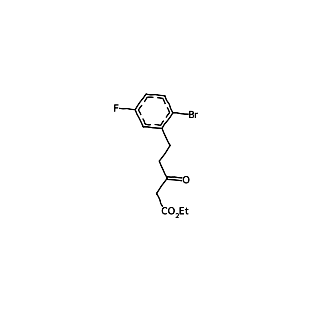 CCOC(=O)CC(=O)CCc1cc(F)ccc1Br